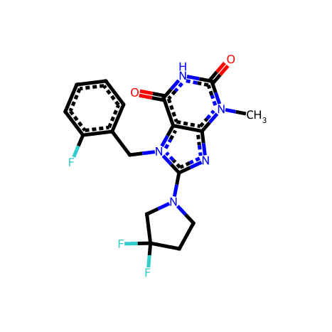 Cn1c(=O)[nH]c(=O)c2c1nc(N1CCC(F)(F)C1)n2Cc1ccccc1F